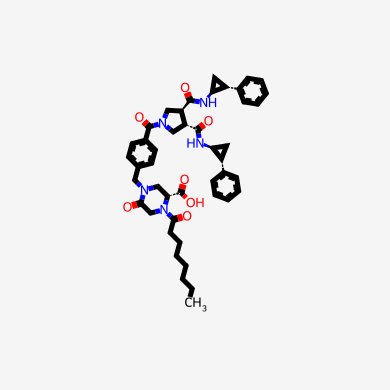 CCCCCCCC(=O)N1CC(=O)N(Cc2ccc(C(=O)N3C[C@@H](C(=O)N[C@H]4C[C@@H]4c4ccccc4)[C@H](C(=O)N[C@H]4C[C@@H]4c4ccccc4)C3)cc2)C[C@@H]1C(=O)O